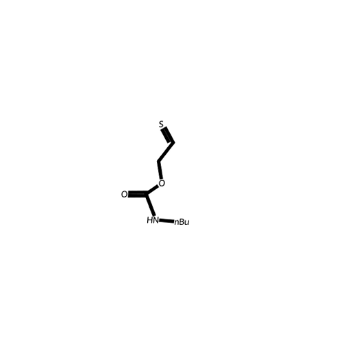 CCCCNC(=O)OCC=S